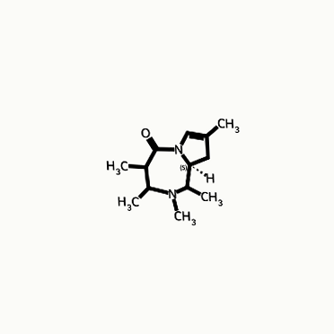 CC1=CN2C(=O)C(C)C(C)N(C)C(C)[C@@H]2C1